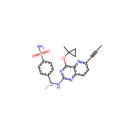 CC#Cc1ccc2nc(N[C@H](C)c3ccc(S(N)(=O)=O)cc3)nc(OC3(C)CC3)c2n1